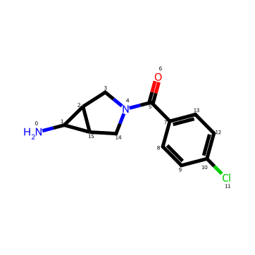 NC1C2CN(C(=O)c3ccc(Cl)cc3)CC12